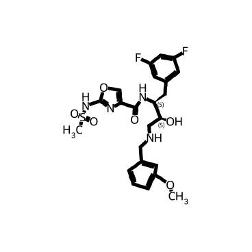 COc1cccc(CNC[C@H](O)[C@H](Cc2cc(F)cc(F)c2)NC(=O)c2coc(NS(C)(=O)=O)n2)c1